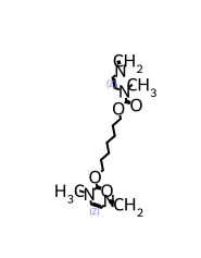 C=N/C=C\N(C)C(=O)OCCCCCCCOC(=O)N(C)/C=C\N=C